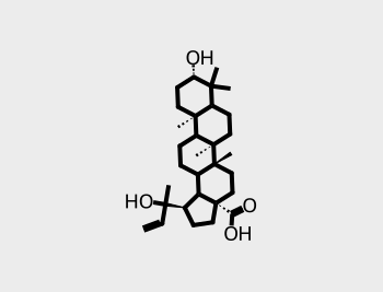 C=CC(C)(O)[C@@H]1CC[C@]2(C(=O)O)CC[C@]3(C)C(CCC4[C@@]5(C)CC[C@H](O)C(C)(C)C5CC[C@]43C)C12